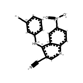 N#Cc1cnc2ccc([N+](=O)[O-])cc2c1Nc1cccc(I)c1